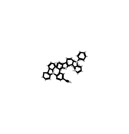 N#Cc1ccc(N2C3=C(CCC=C3)C3C=CC=CC32)c(-c2cccc3c4c(sc23)C2c3ncccc3N(c3ccccc3)C2C=C4)c1